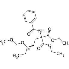 CCOC(=O)C(CC[C@@H](CC)OCOC)(NC(=O)c1ccccc1)C(=O)OCC